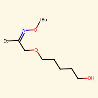 CCC(COCCCCCO)=NOC(C)(C)C